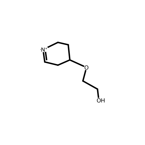 OCCOC1CC=[N+]CC1